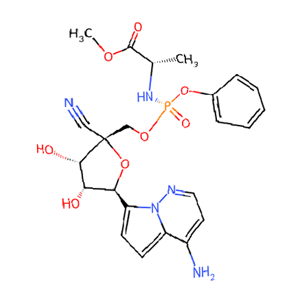 COC(=O)[C@H](C)N[P@](=O)(OC[C@@]1(C#N)O[C@@H](c2ccc3c(N)ccnn23)[C@H](O)[C@@H]1O)Oc1ccccc1